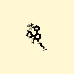 CCS(=O)(=O)c1cccc(-c2ccc(OCCCO)c3[nH]c4c(c23)=CC(I)CN=4)c1